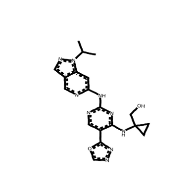 CC(C)n1ncc2cnc(Nc3ncc(-c4nnco4)c(NC4(CO)CC4)n3)cc21